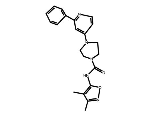 Cc1noc(NC(=O)N2CCN(c3ccnc(-c4ccccc4)c3)CC2)c1C